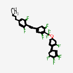 C=CCCc1cc(F)c(C#Cc2cc(F)c(C(F)(F)Oc3ccc(-c4cc(F)c(F)c(F)c4)c(F)c3)c(F)c2)c(F)c1